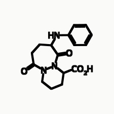 O=C(O)C1CCCN2C(=O)CCC(Nc3ccccc3)C(=O)N12